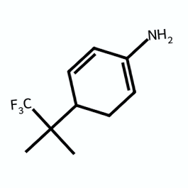 CC(C)(C1C=CC(N)=CC1)C(F)(F)F